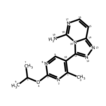 Cc1nc(OC(C)C)ncc1-c1nnc2ccnc(N)n12